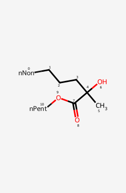 CCCCCCCCCCCCC(C)(O)C(=O)OCCCCC